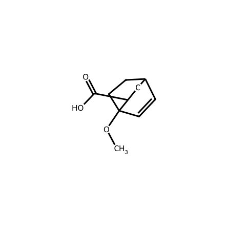 COC12C=CC(CC1)CC2C(=O)O